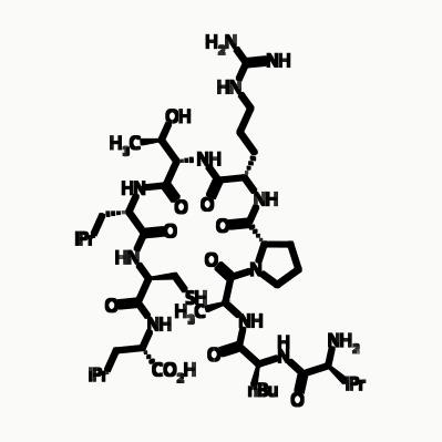 CCCC[C@H](NC(=O)[C@@H](N)C(C)C)C(=O)N[C@@H](C)C(=O)N1CCC[C@H]1C(=O)N[C@@H](CCCNC(=N)N)C(=O)N[C@H](C(=O)N[C@@H](CC(C)C)C(=O)N[C@@H](CS)C(=O)N[C@@H](CC(C)C)C(=O)O)[C@@H](C)O